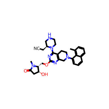 Cc1cccc2cccc(N3CCc4c(nc(OC[C@@H]5[C@H](O)CC(=O)N5C)nc4N4CCNC[C@@H]4CC#N)C3)c12